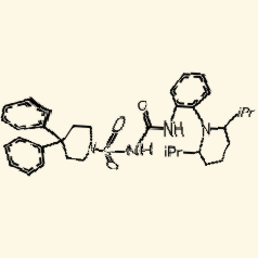 CC(C)C1CCCC(C(C)C)N1c1ccccc1NC(=O)NS(=O)(=O)N1CCC(c2ccccc2)(c2ccccc2)CC1